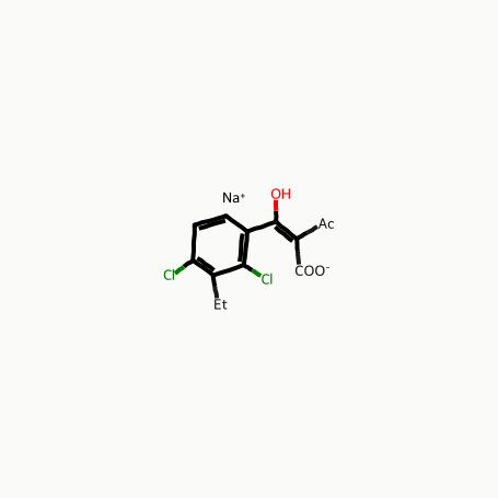 CCc1c(Cl)ccc(C(O)=C(C(C)=O)C(=O)[O-])c1Cl.[Na+]